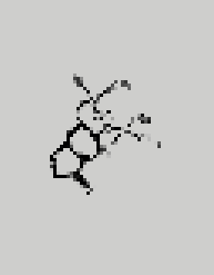 CC(C)(C)[Si](C)(C)Oc1cc2c(cc1O[Si](C)(C)C(C)(C)C)C(=O)CC2